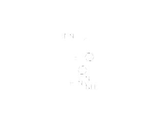 CCc1c(CCC(=O)OCNC=O)cccc1-c1cccc(NC(=N)N)c1